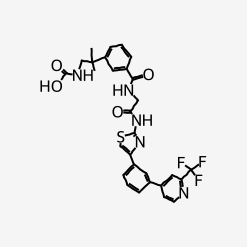 CC(C)(CNC(=O)O)c1cccc(C(=O)NCC(=O)Nc2nc(-c3cccc(-c4ccnc(C(F)(F)F)c4)c3)cs2)c1